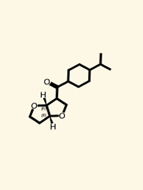 CC(C)C1CCC(C(=O)C2CO[C@@H]3CCO[C@H]23)CC1